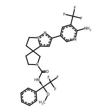 CO[C@](NC(=O)N1CCC2(CCn3nc(-c4cnc(N)c(C(F)(F)F)c4)cc32)C1)(c1ccccc1)C(F)(F)F